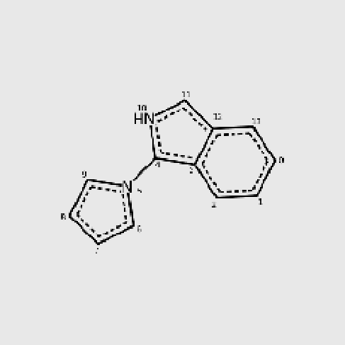 c1ccc2c(-n3cccc3)[nH]cc2c1